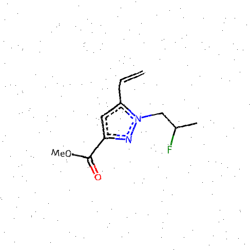 C=Cc1cc(C(=O)OC)nn1CC(C)F